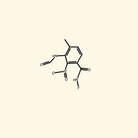 Cc1ccc(C(=O)NF)c([N+](=O)[O-])c1NC=O